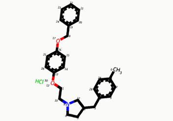 Cc1ccc(CC2CCN(CCOc3ccc(OCc4ccccc4)cc3)C2)cc1.Cl